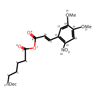 CCCCCCCCCCCCCCC(=O)OC(=O)C=Cc1cc(OC)c(OC)cc1[N+](=O)[O-]